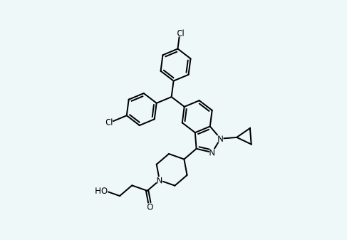 O=C(CCO)N1CCC(c2nn(C3CC3)c3ccc(C(c4ccc(Cl)cc4)c4ccc(Cl)cc4)cc23)CC1